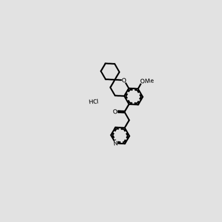 COc1ccc(C(=O)Cc2ccncc2)c2c1OC1(CCCCC1)CC2.Cl